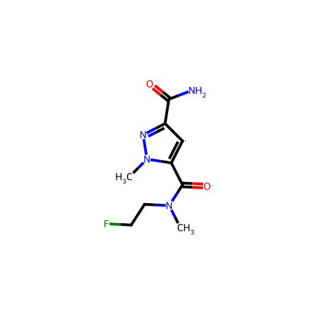 CN(CCF)C(=O)c1[c]c(C(N)=O)nn1C